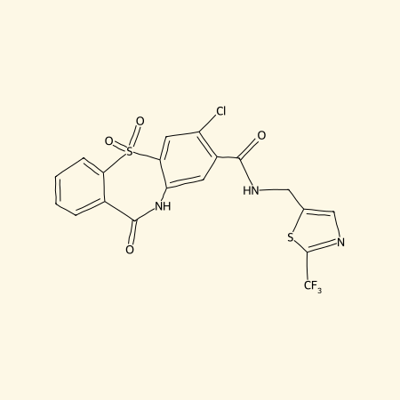 O=C(NCc1cnc(C(F)(F)F)s1)c1cc2c(cc1Cl)S(=O)(=O)c1ccccc1C(=O)N2